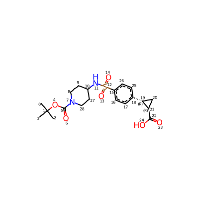 CC(C)(C)OC(=O)N1CCC(NS(=O)(=O)c2ccc([C@@H]3C[C@H]3C(=O)O)cc2)CC1